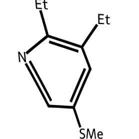 CCc1cc(SC)cnc1CC